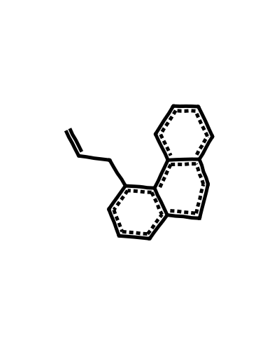 C=CCc1cccc2ccc3ccccc3c12